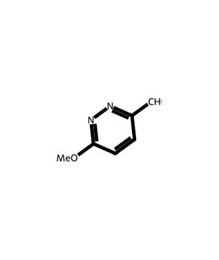 [CH]c1ccc(OC)nn1